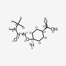 [2H][C@]1(O/N=[N+](\[O-])N(C)C(C)(C)C)CC[C@@H](C(=O)O)CC1